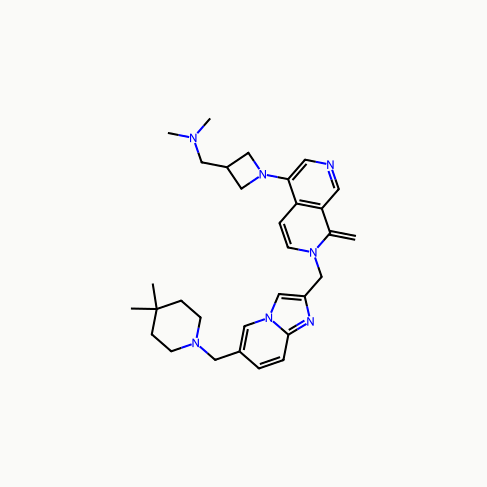 C=C1c2cncc(N3CC(CN(C)C)C3)c2C=CN1Cc1cn2cc(CN3CCC(C)(C)CC3)ccc2n1